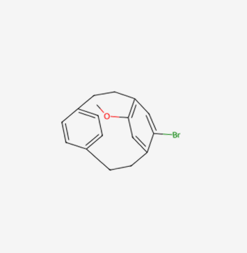 COc1cc2c(Br)cc1CCc1ccc(cc1)CC2